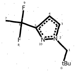 CC(C)(C)Cn1ccc(C(C)(F)F)n1